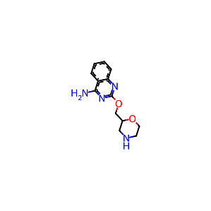 Nc1nc(OCC2CNCCO2)nc2ccccc12